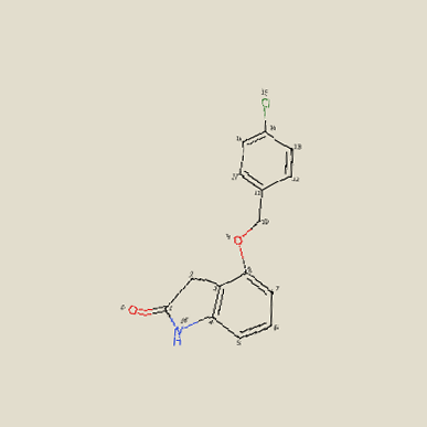 O=C1Cc2c(cccc2OCc2ccc(Cl)cc2)N1